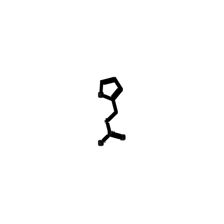 O=[N+]([O-])[I]Cc1ccco1